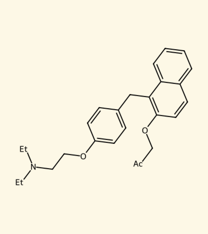 CCN(CC)CCOc1ccc(Cc2c(OCC(C)=O)ccc3ccccc23)cc1